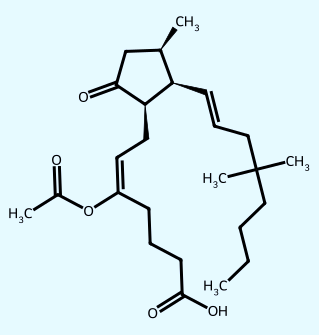 CCCCC(C)(C)C/C=C/[C@@H]1[C@H](C)CC(=O)[C@@H]1C/C=C(\CCCC(=O)O)OC(C)=O